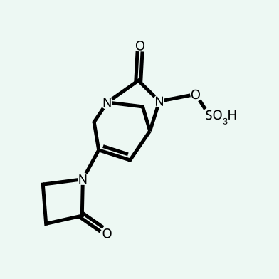 O=C1CCN1C1=CC2CN(C1)C(=O)N2OS(=O)(=O)O